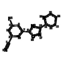 N#Cc1cc(F)cc(-c2nc(-c3ccccn3)no2)c1